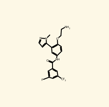 Cn1nccc1-c1cc(NC(=O)c2cc(F)cc(C(F)(F)F)c2)ccc1OCCN